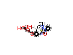 CC(C)/N=C1\S/C(=C\c2ccc(OCCOCC(O)O)cc2)C(=O)N1c1ccccc1